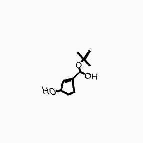 CC(C)(C)OC(O)C1=CC(O)CC1